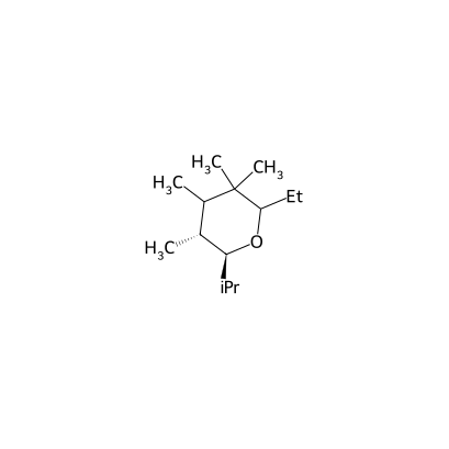 CCC1O[C@@H](C(C)C)[C@H](C)C(C)C1(C)C